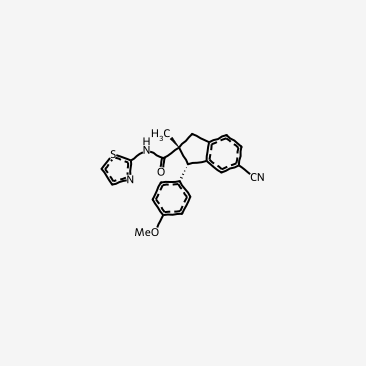 COc1ccc([C@H]2c3cc(C#N)ccc3C[C@@]2(C)C(=O)Nc2nccs2)cc1